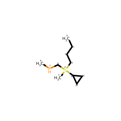 CCCCS(C)(CPC)C1CC1